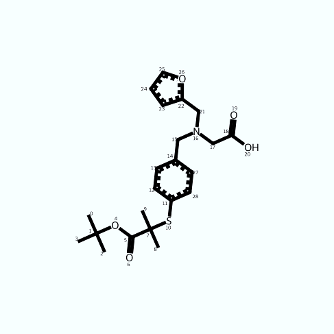 CC(C)(C)OC(=O)C(C)(C)Sc1ccc(CN(CC(=O)O)Cc2ccco2)cc1